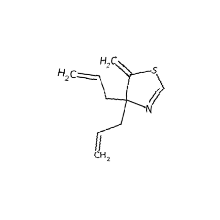 C=CCC1(CC=C)N=CSC1=C